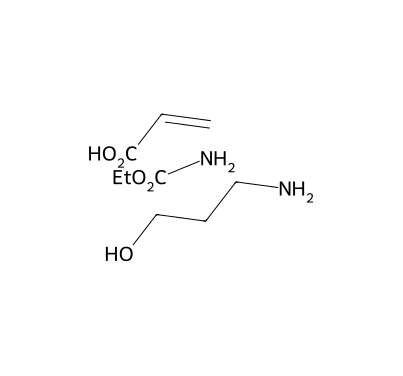 C=CC(=O)O.CCOC(N)=O.NCCCO